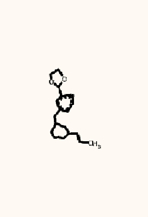 CCCC1CCCC(Cc2cccc(C3OCCO3)c2)C1